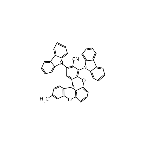 Cc1ccc2c(c1)Oc1cccc3c1B2c1cc(-n2c4ccccc4c4ccccc42)c(C#N)c(-n2c4ccccc4c4ccccc42)c1O3